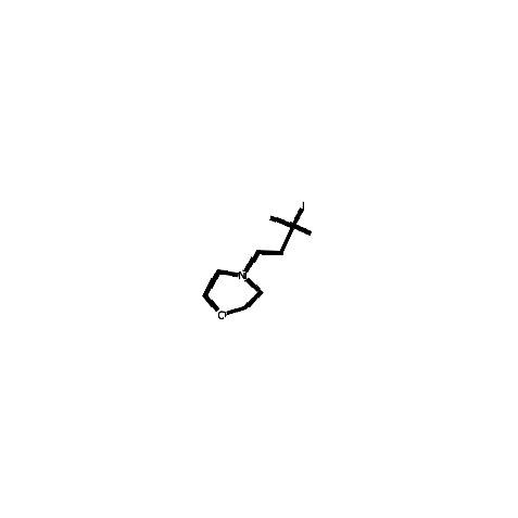 CC(C)(I)CCN1CCOCC1